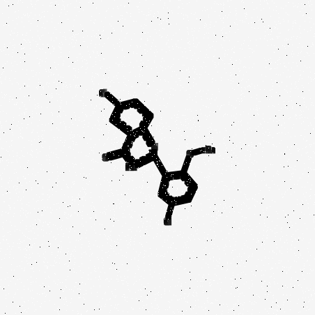 CCCCOc1ccc(Cl)cc1-c1nc2ccc(Cl)cc2c(=O)[nH]1